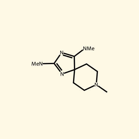 CNC1=NC2(CCN(C)CC2)C(NC)=N1